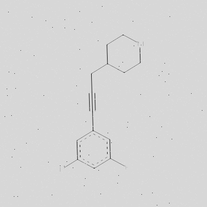 Fc1cc(F)cc(C#CCC2CCNCC2)c1